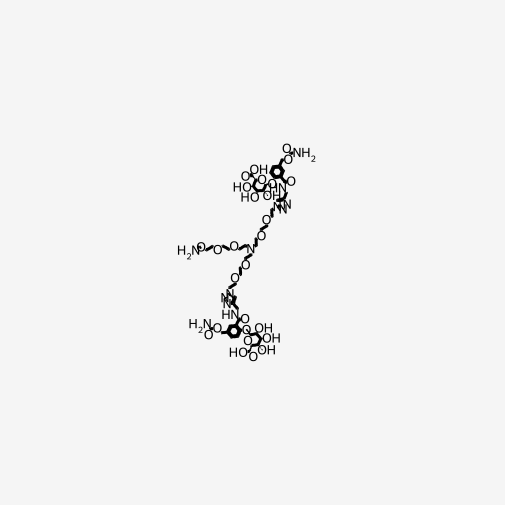 NOCCOCCOCCN(CCOCCOCCn1cc(CNC(=O)c2cc(COC(N)=O)ccc2O[C@@H]2O[C@H](C(=O)O)[C@@H](O)[C@H](O)[C@H]2O)nn1)CCOCCOCCn1cc(CNC(=O)c2cc(COC(N)=O)ccc2O[C@@H]2O[C@H](C(=O)O)[C@@H](O)[C@H](O)[C@H]2O)nn1